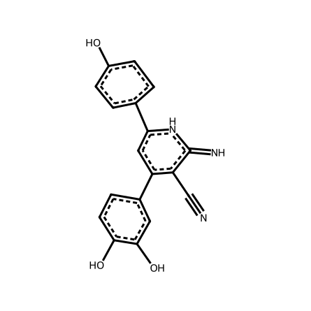 N#Cc1c(-c2ccc(O)c(O)c2)cc(-c2ccc(O)cc2)[nH]c1=N